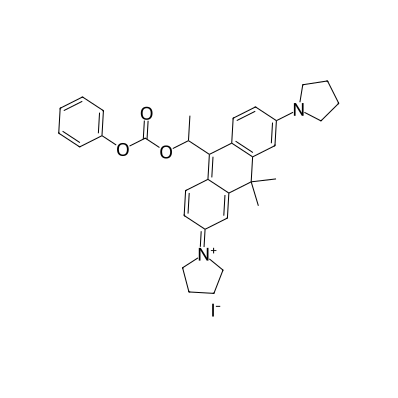 CC(OC(=O)Oc1ccccc1)C1=C2C=CC(=[N+]3CCCC3)C=C2C(C)(C)c2cc(N3CCCC3)ccc21.[I-]